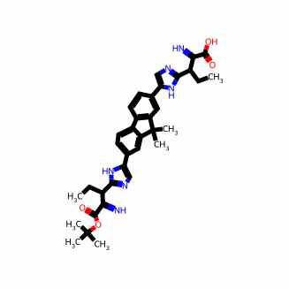 CCC(C(=N)C(=O)O)c1ncc(-c2ccc3c(c2)C(C)(C)c2cc(-c4cnc(C(CC)C(=N)C(=O)OC(C)(C)C)[nH]4)ccc2-3)[nH]1